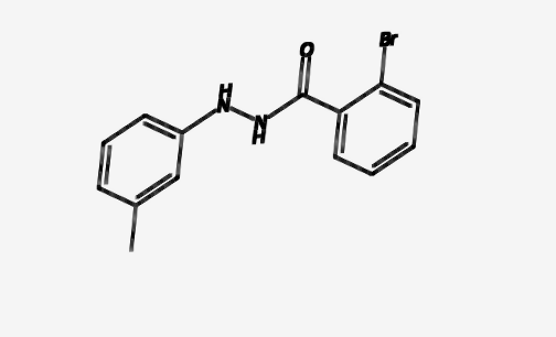 Cc1cccc(NNC(=O)c2ccccc2Br)c1